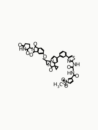 CS(=O)(=O)n1ccc(C(=O)NCC(=O)Nc2nc(-c3cccc(-c4ccnc(C5(C(=O)N6CC(COc7ccc8c(c7)C(=O)N(C7CCC(=O)NC7=O)C8=O)C6)CC5)c4)c3)cs2)c1